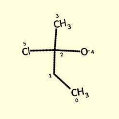 CCC(C)([O])Cl